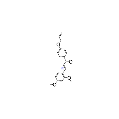 C=CCOc1ccc(C(=O)/C=C/c2ccc(OC)cc2OC)cc1